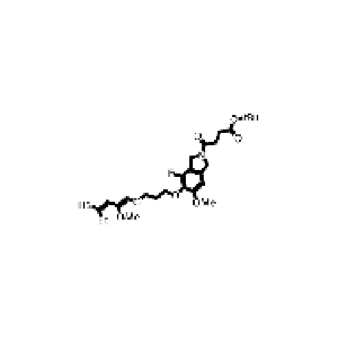 CC/C(S)=C\C(=C\OCCCOc1c(OC)cc2c(c1F)CN(C(=O)CCC(=O)OC(C)(C)C)C2)OC